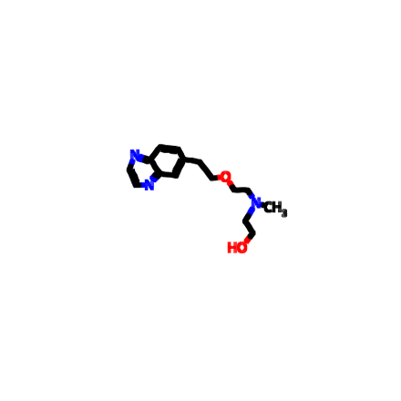 CN(CCO)CCOCCc1ccc2nccnc2c1